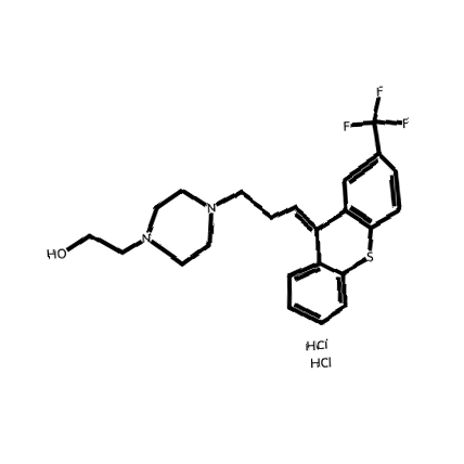 Cl.Cl.OCCN1CCN(CC/C=C2\c3ccccc3Sc3ccc(C(F)(F)F)cc32)CC1